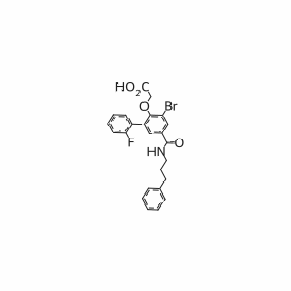 O=C(O)COc1c(Br)cc(C(=O)NCCCc2ccccc2)cc1-c1ccccc1F